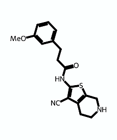 COc1cccc(CCC(=O)Nc2sc3c(c2C#N)CCNC3)c1